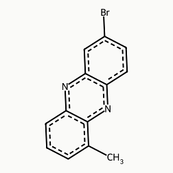 Cc1cccc2nc3cc(Br)ccc3nc12